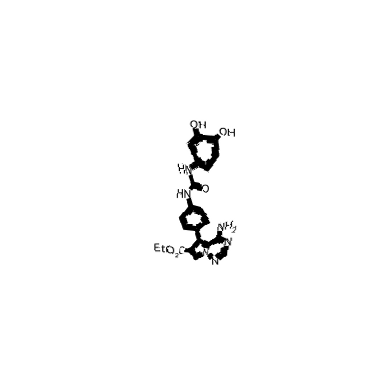 CCOC(=O)c1cn2ncnc(N)c2c1-c1ccc(NC(=O)Nc2ccc(O)c(O)c2)cc1